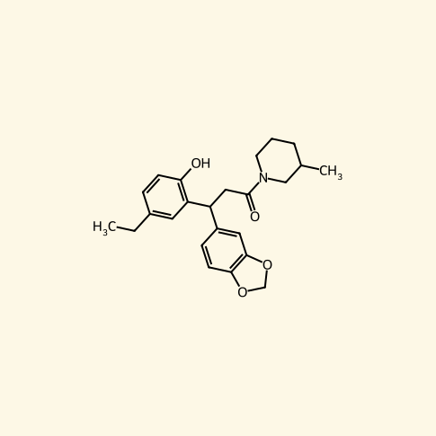 CCc1ccc(O)c(C(CC(=O)N2CCCC(C)C2)c2ccc3c(c2)OCO3)c1